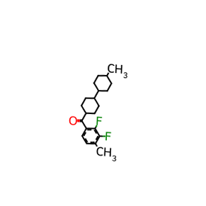 Cc1ccc(C(=O)C2CCC(C3CCC(C)CC3)CC2)c(F)c1F